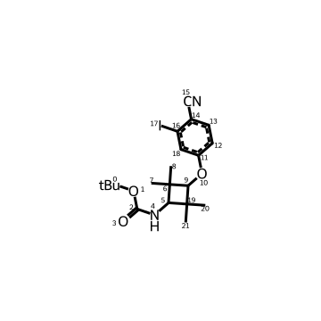 CC(C)(C)OC(=O)NC1C(C)(C)C(Oc2ccc(C#N)c(I)c2)C1(C)C